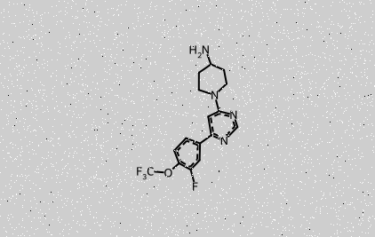 NC1CCN(c2cc(-c3ccc(OC(F)(F)F)c(F)c3)ncn2)CC1